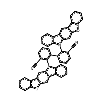 N#Cc1cccc(-c2cccc(C#N)c2-n2c3ccccc3c3cc4oc5ccccc5c4cc32)c1-n1c2ccccc2c2cc3c(cc21)oc1ccccc13